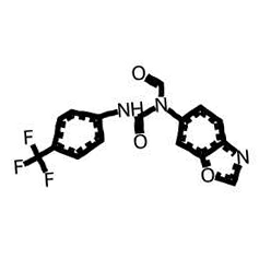 O=CN(C(=O)Nc1ccc(C(F)(F)F)cc1)c1ccc2ncoc2c1